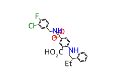 CCC(CNc1ccc(S(=O)(=O)NCc2ccc(F)c(Cl)c2)cc1C(=O)O)c1ccccc1